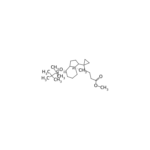 COC(=O)CCCC1(C2CCC3[C@@H](O[Si](C)(C)C(C)(C)C)CCC[C@@]32C)CC1